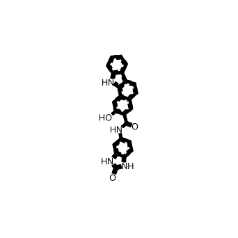 O=C(Nc1ccc2[nH]c(=O)[nH]c2c1)c1cc2ccc3c4ccccc4[nH]c3c2cc1O